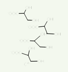 O=C([O-])C(O)CO.O=C([O-])C(O)CO.O=C([O-])C(O)CO.O=C([O-])C(O)CO.[C+4]